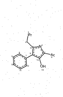 CC(=O)c1nn(CC(C)C)c(-c2ccccc2)c1O